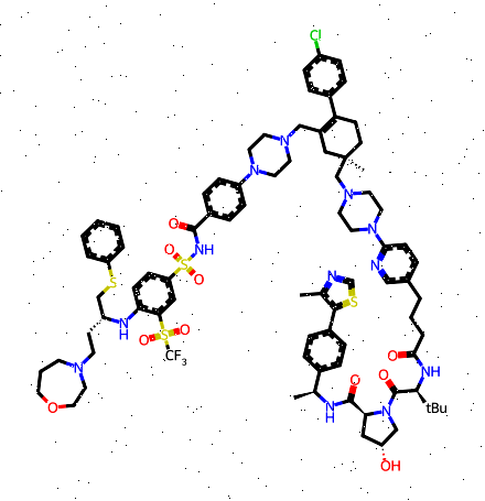 Cc1ncsc1-c1ccc([C@H](C)NC(=O)[C@@H]2C[C@@H](O)CN2C(=O)[C@@H](NC(=O)CCCc2ccc(N3CCN(C[C@]4(C)CCC(c5ccc(Cl)cc5)=C(CN5CCN(c6ccc(C(=O)NS(=O)(=O)c7ccc(N[C@H](CCN8CCCOCC8)CSc8ccccc8)c(S(=O)(=O)C(F)(F)F)c7)cc6)CC5)C4)CC3)nc2)C(C)(C)C)cc1